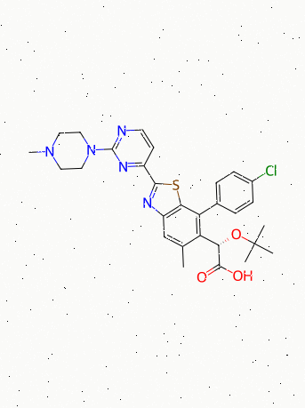 Cc1cc2nc(-c3ccnc(N4CCN(C)CC4)n3)sc2c(-c2ccc(Cl)cc2)c1[C@H](OC(C)(C)C)C(=O)O